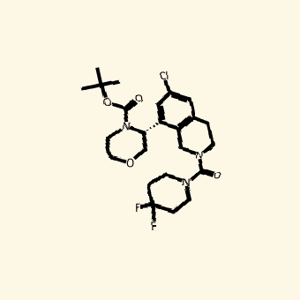 CC(C)(C)OC(=O)N1CCOC[C@H]1c1cc(Cl)cc2c1CN(C(=O)N1CCC(F)(F)CC1)CC2